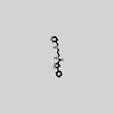 O=C(NCCCNCc1cccnc1)c1cc(-c2ccccc2)on1